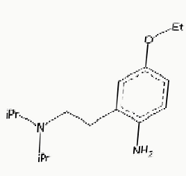 CCOc1ccc(N)c(CCN(C(C)C)C(C)C)c1